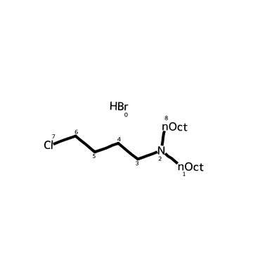 Br.CCCCCCCCN(CCCCCl)CCCCCCCC